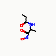 CCC(=O)NC(C)C(=O)N=O